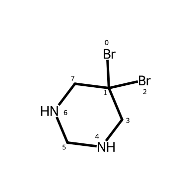 BrC1(Br)CNCNC1